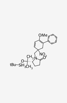 COC1=C(c2ccccc2)CC(CN2C(=O)CC[C@@H]2C(C)(C)O[SiH2]C(C)(C)C)([N+](=O)[O-])C=C1